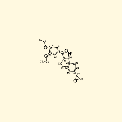 CCOc1ccc(-c2onc3c2CCc2cc(C4CO4)ccc2-3)cc1OCC